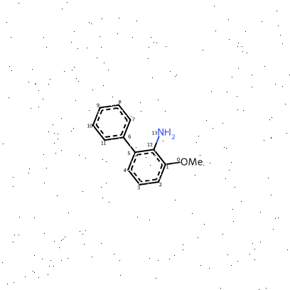 COc1cccc(-c2ccccc2)c1N